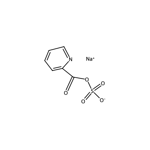 O=C(OS(=O)(=O)[O-])c1ccccn1.[Na+]